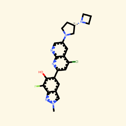 Cn1cc2cc(-c3cc(Cl)c4cc(N5CC[C@H](N6CCC6)C5)cnc4n3)c(O)c(F)c2n1